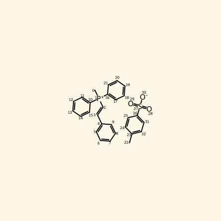 C[P+](C=Cc1ccccc1)(c1ccccc1)c1ccccc1.Cc1ccc(S(=O)(=O)[O-])cc1